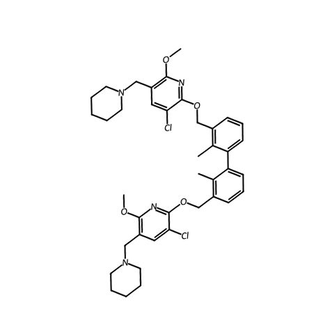 COc1nc(OCc2cccc(-c3cccc(COc4nc(OC)c(CN5CCCCC5)cc4Cl)c3C)c2C)c(Cl)cc1CN1CCCCC1